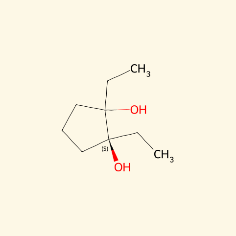 CCC1(O)CCC[C@@]1(O)CC